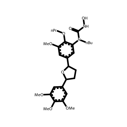 CCCCN(C(=O)NO)c1cc(C2CCC(c3cc(OC)c(OC)c(OC)c3)O2)cc(OC)c1OCCC